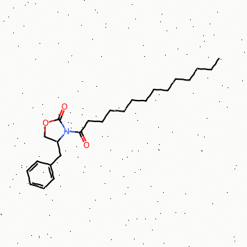 CCCCCCCCCCCCCC(=O)N1C(=O)OCC1Cc1ccccc1